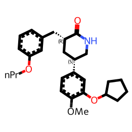 CCCOc1cccc(C[C@H]2C[C@@H](c3ccc(OC)c(OC4CCCC4)c3)CNC2=O)c1